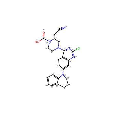 N#CC[C@H]1CN(c2nc(Cl)nc3c2CCC(N2CCCc4ccccc42)=C3)CCN1C(=O)O